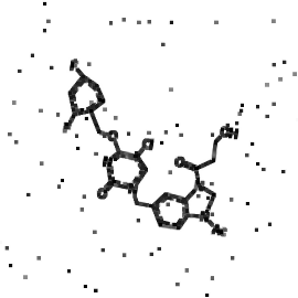 CC(=O)N1CN(C(=O)CCO)c2cc(Cn3cc(Cl)c(OCc4ccc(F)cc4F)nc3=O)ccc21